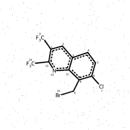 FC(F)(F)c1cc2ccc(Cl)c(CBr)c2nc1C(F)(F)F